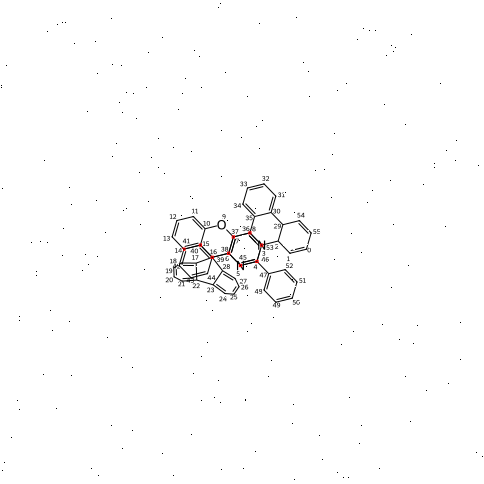 C1=CC(c2ccc3c(c2)Oc2ccccc2C32c3ccccc3-c3ccccc32)C(c2ccccc2-c2cc(-c3ccccc3)nc(-c3ccccc3)n2)C=C1